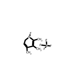 CC1=CCN(F)C(C)=C1C.F[B-](F)(F)F